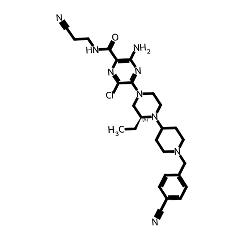 CC[C@H]1CN(c2nc(N)c(C(=O)NCCC#N)nc2Cl)CCN1C1CCN(Cc2ccc(C#N)cc2)CC1